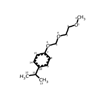 COCCOCOc1ccc(C(C)C)cc1